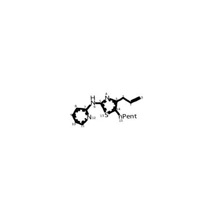 C=CCc1nc(Nc2ccccn2)sc1CCCCC